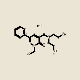 CC(C)Cn1nc(-c2ccccc2)cc(CN(CCO)CCO)c1=O.Cl